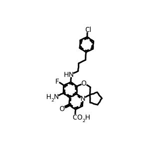 Nc1c(F)c(NCCCc2ccc(Cl)cc2)c2c3c1c(=O)c(C(=O)O)cn3C1(CCCC1)CO2